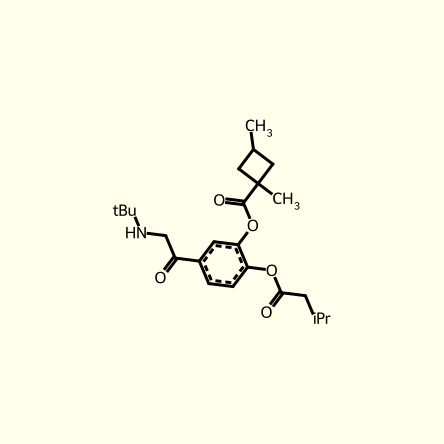 CC(C)CC(=O)Oc1ccc(C(=O)CNC(C)(C)C)cc1OC(=O)C1(C)CC(C)C1